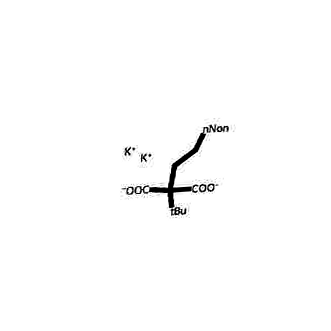 CCCCCCCCCCCC(C(=O)[O-])(C(=O)[O-])C(C)(C)C.[K+].[K+]